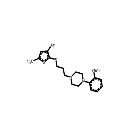 COc1ccccc1N1CCN(CCCSc2sc(C)cc2C(C)=O)CC1